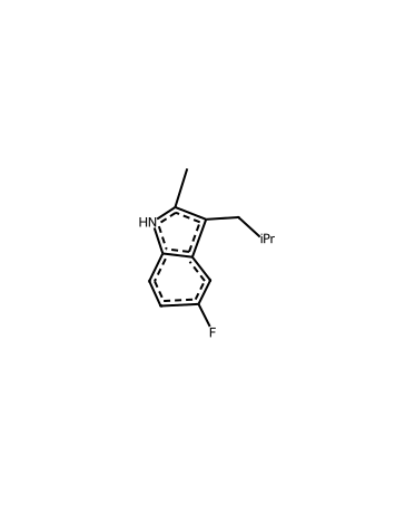 Cc1[nH]c2ccc(F)cc2c1CC(C)C